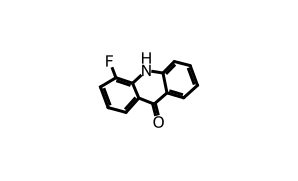 O=c1c2ccccc2[nH]c2c(F)cccc12